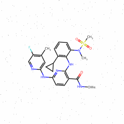 CONC(=O)c1ccc(Nc2cc(C)c(F)cn2)nc1Nc1c(C2CC2)cccc1N(C)S(C)(=O)=O